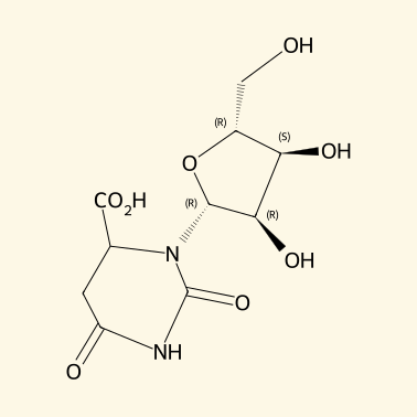 O=C1CC(C(=O)O)N([C@@H]2O[C@H](CO)[C@@H](O)[C@H]2O)C(=O)N1